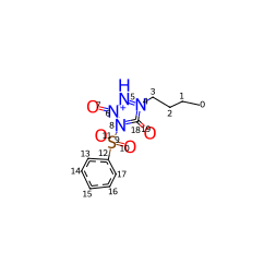 CCCCn1[nH][n+](=O)n(S(=O)(=O)c2ccccc2)c1=O